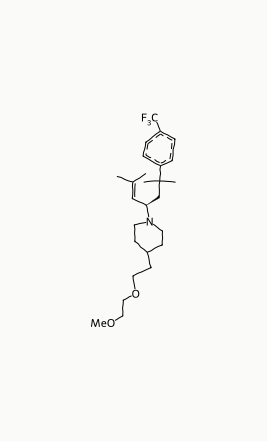 COCCOCCC1CCN([C@@H](C=C(C)C)CC(C)(C)c2ccc(C(F)(F)F)cc2)CC1